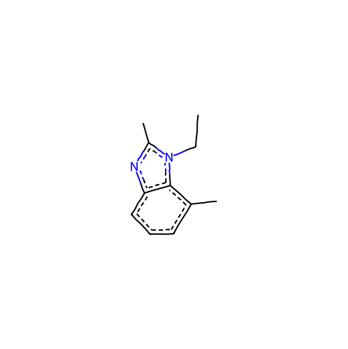 CCn1c(C)nc2cccc(C)c21